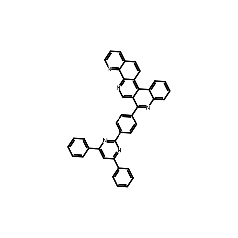 c1ccc(-c2cc(-c3ccccc3)nc(-c3ccc(-c4nc5ccccc5c5c4cnc4c5ccc5cccnc54)cc3)n2)cc1